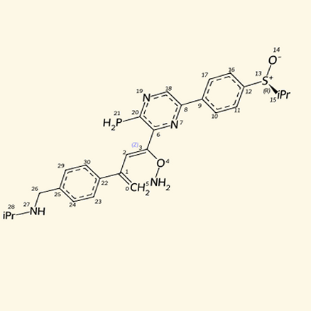 C=C(/C=C(\ON)c1nc(-c2ccc([S@@+]([O-])C(C)C)cc2)cnc1P)c1ccc(CNC(C)C)cc1